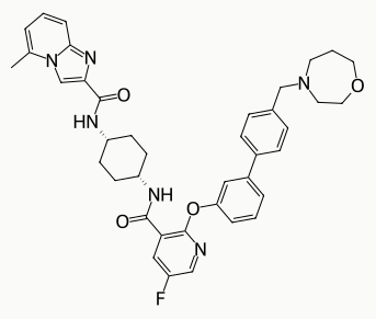 Cc1cccc2nc(C(=O)N[C@H]3CC[C@@H](NC(=O)c4cc(F)cnc4Oc4cccc(-c5ccc(CN6CCCOCC6)cc5)c4)CC3)cn12